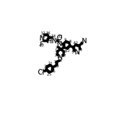 N#Cc1cncc(-c2ccc3c(c2)C2(CCN(CC=Cc4ccc(Cl)cc4)CC2)CN3C(=O)NCc2ccnc(F)c2)c1